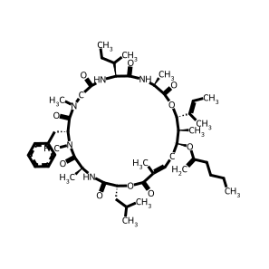 C=C(CCCC)O[C@H]1C/C=C(\C)C(=O)O[C@H](CC(C)C)C(=O)N[C@@H](C)C(=O)N(C)[C@H](Cc2ccccc2)C(=O)N(C)CC(=O)N[C@@H](C(C)CC)C(=O)N[C@@H](C)C(=O)O[C@H](/C(C)=C/C)[C@H]1C